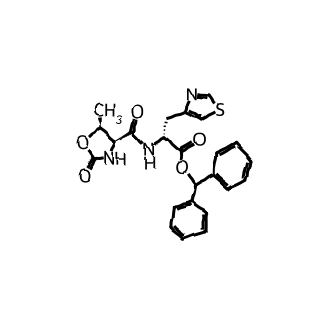 C[C@@H]1OC(=O)N[C@@H]1C(=O)N[C@H](Cc1cscn1)C(=O)OC(c1ccccc1)c1ccccc1